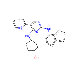 O[C@H]1CC[C@H](Nc2nc(Nc3cccc4ccccc34)ncc2-c2ccccn2)CC1